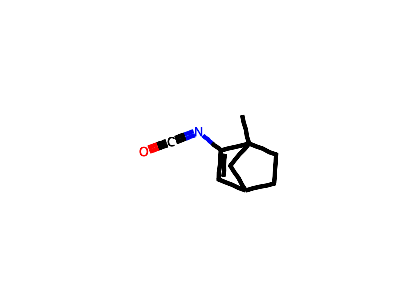 CC12CCC(C=C1N=C=O)C2